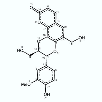 COc1cc([C@H]2Oc3c(CO)cc4ccc(=O)oc4c3O[C@@H]2CO)ccc1O